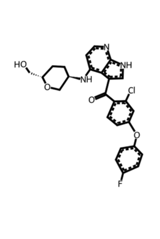 O=C(c1ccc(Oc2ccc(F)cc2)cc1Cl)c1c[nH]c2nccc(N[C@@H]3CC[C@@H](CO)OC3)c12